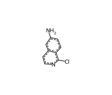 Nc1ccc2c(Cl)nccc2c1